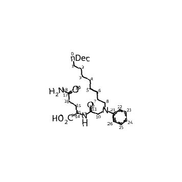 CCCCCCCCCCCCCCCCCCN(CC(=O)N[C@H](CCC(N)=O)C(=O)O)c1ccccc1